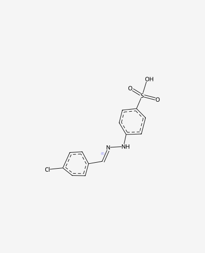 O=S(=O)(O)c1ccc(N/N=C/c2ccc(Cl)cc2)cc1